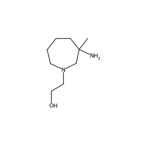 CC1(N)CCCCN(CCO)C1